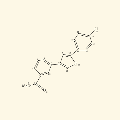 COC(=O)c1cccc(-c2cc(-c3ccc(Cl)cc3)on2)c1